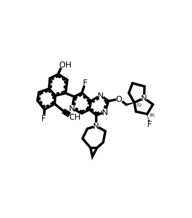 C#Cc1c(F)ccc2cc(O)cc(-c3ncc4c(N5CCC6CC6CC5)nc(OC[C@@]56CCCN5C[C@H](F)C6)nc4c3F)c12